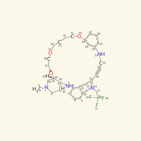 CN1CC[C@@H]2Nc3cccc4c3cc(n4CC(F)(F)F)C#CCNc3cccc(c3)OCCCCOCCO[C@H]2C1